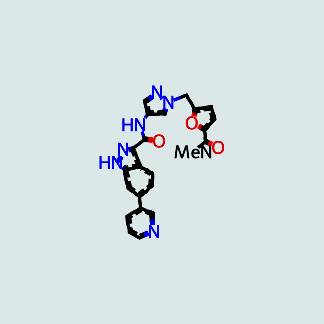 CNC(=O)c1ccc(Cn2cc(NC(=O)c3n[nH]c4cc(-c5cccnc5)ccc34)cn2)o1